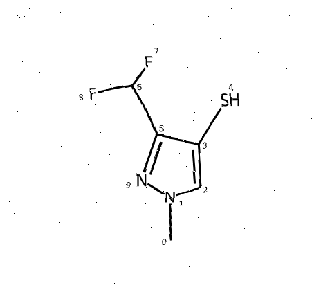 Cn1cc(S)c(C(F)F)n1